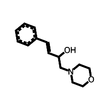 OC(/C=C/c1ccccc1)CN1CCOCC1